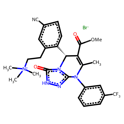 COC(=O)C1=C(C)N(c2cccc(C(F)(F)F)c2)c2n[nH]c(=O)n2[C@@H]1c1ccc(C#N)cc1CC[N+](C)(C)C.[Br-]